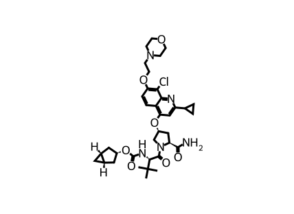 CC(C)(C)[C@H](NC(=O)O[C@@H]1C[C@@H]2C[C@@H]2C1)C(=O)N1C[C@H](Oc2cc(C3CC3)nc3c(Cl)c(OCCN4CCOCC4)ccc23)C[C@H]1C(N)=O